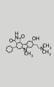 CN(C)CCc1cc2c(cc1O)c1c3c(c(-c4ccccc4)cc1n2C)C(=O)NC3=O